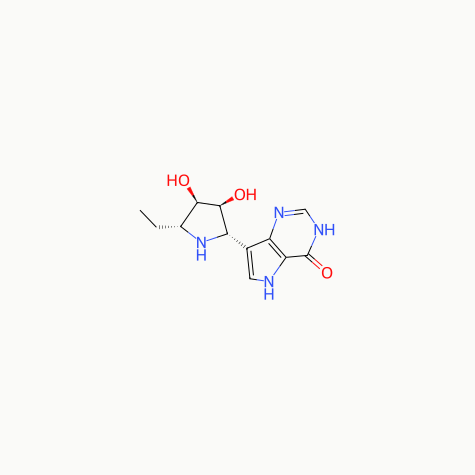 CC[C@H]1N[C@@H](c2c[nH]c3c(=O)[nH]cnc23)[C@H](O)[C@@H]1O